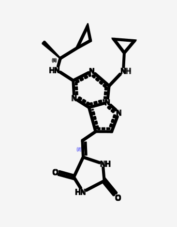 C[C@H](Nc1nc(NC2CC2)n2ncc(/C=C3\NC(=O)NC3=O)c2n1)C1CC1